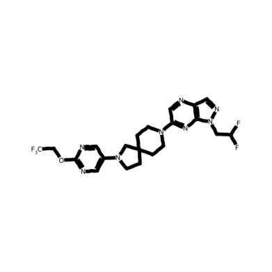 FC(F)Cn1ncc2ncc(N3CCC4(CCN(c5cnc(OCC(F)(F)F)nc5)C4)CC3)nc21